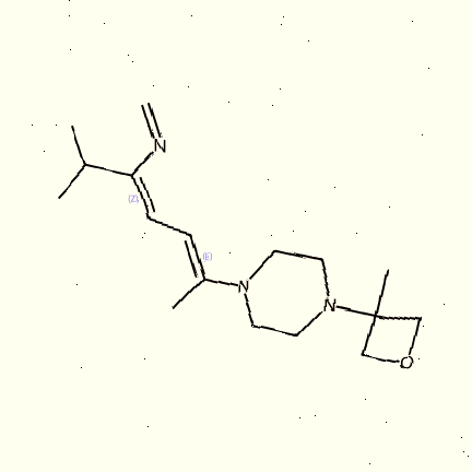 C=N/C(=C\C=C(/C)N1CCN(C2(C)COC2)CC1)C(C)C